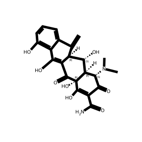 C=C1c2cccc(O)c2C(O)=C2C(=O)[C@]3(O)C(O)=C(C(N)=O)C(=O)[C@@H](N(C)C)[C@@H]3[C@@H](O)[C@H]12